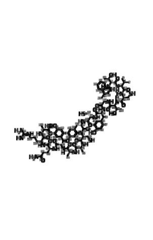 CC(C)[C@H](NC(=O)[C@@H](N)[C@@H](C)O)C(=O)N[C@@H](CS)C(=O)N[C@H](C(=O)N[C@@H](Cc1c[nH]c2ccccc12)C(=O)N[C@@H](Cc1ccc(O)cc1)C(=O)N[C@@H](CS)C(=O)N[C@@H](Cc1ccc(O)cc1)C(=O)N[C@@H](CS)C(=O)N[C@@H](C)C(=O)N[C@@H](C)C(=O)N[C@@H](Cc1ccc(O)cc1)C(=O)N[C@@H](CCC(N)=O)C(=O)N[C@@H](CCCNC(=N)N)C(=O)N[C@@H](C)C(=O)O)[C@@H](C)O